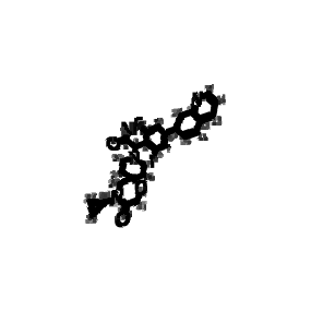 NC(=O)C(c1c(F)cc(-c2ccc3cccnc3c2)cc1F)N1CCC2(CC1)CN(C1CC1)C(=O)CO2